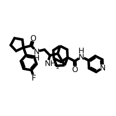 NC(CNC(=O)C1(c2ccc(F)cc2)CCCC1)C1C2CC3CC1C(C(=O)Nc1ccncc1)(C3)C2